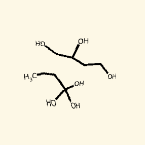 CCC(O)(O)O.OCCC(O)CO